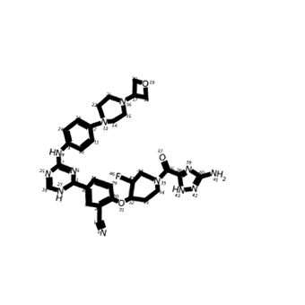 N#Cc1cc(C2N=C(Nc3ccc(N4CCN(C5COC5)CC4)cc3)N=CN2)ccc1OC1CCN(C(=O)c2nc(N)n[nH]2)CC1F